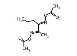 CCCC(=N\OC(C)=O)/C(C)=N/OC(C)=O